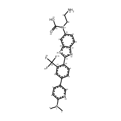 CN(C)c1ccc(-c2ccc(-c3nc4ccc(N(CCN)C(=O)O)cc4s3)c(C(F)(F)F)c2)cn1